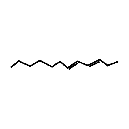 C[CH]C=CC=CCCCCCC